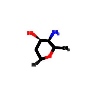 CC(C)[C@H]1C[C@H](O)[C@@H](N)C(C)O1